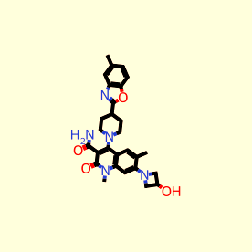 Cc1ccc2oc(C3CCN(c4c(C(N)=O)c(=O)n(C)c5cc(N6CC(O)C6)c(C)cc45)CC3)nc2c1